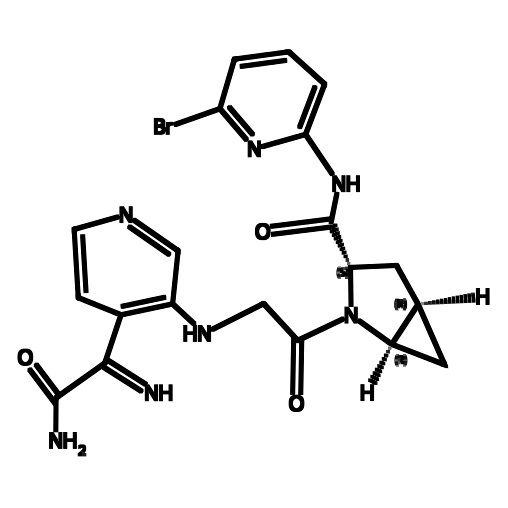 N=C(C(N)=O)c1ccncc1NCC(=O)N1[C@@H]2C[C@@H]2C[C@H]1C(=O)Nc1cccc(Br)n1